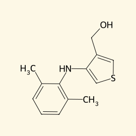 Cc1cccc(C)c1Nc1cscc1CO